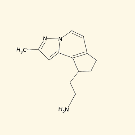 Cc1cc2c3c(ccn2n1)CCC3CCN